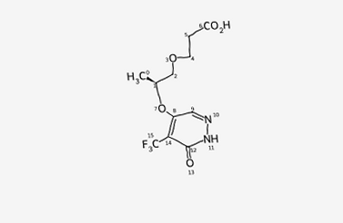 C[C@@H](COCCC(=O)O)Oc1cn[nH]c(=O)c1C(F)(F)F